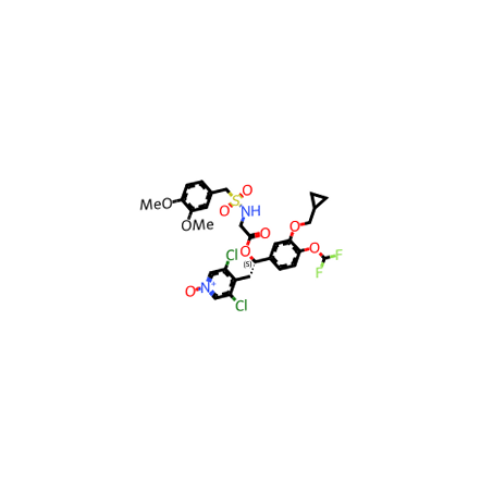 COc1ccc(CS(=O)(=O)NCC(=O)O[C@@H](Cc2c(Cl)c[n+]([O-])cc2Cl)c2ccc(OC(F)F)c(OCC3CC3)c2)cc1OC